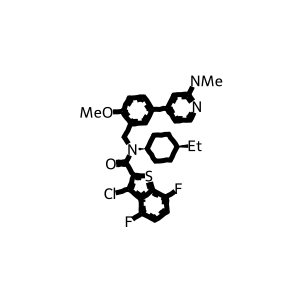 CC[C@H]1CC[C@H](N(Cc2cc(-c3ccnc(NC)c3)ccc2OC)C(=O)c2sc3c(F)ccc(F)c3c2Cl)CC1